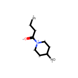 CC(C)CCC(=O)N1CCC(N=O)CC1